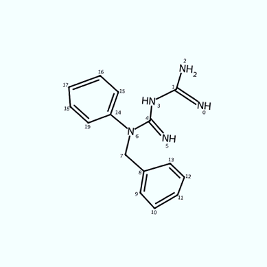 N=C(N)NC(=N)N(Cc1ccccc1)c1ccccc1